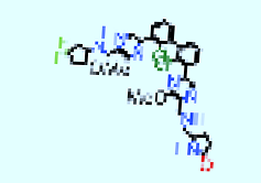 COc1nc(-c2cccc(-c3cccc(-c4cnc(CNC5CCC(F)(F)C5)c(OC)n4)c3Cl)c2Cl)cnc1CNCC1CCC(=O)N1